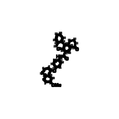 COc1ccc2nccc(Oc3ccc(NC(=O)c4cc5c(n(-c6ccccc6C)c4=O)CCCC5=O)nc3)c2c1